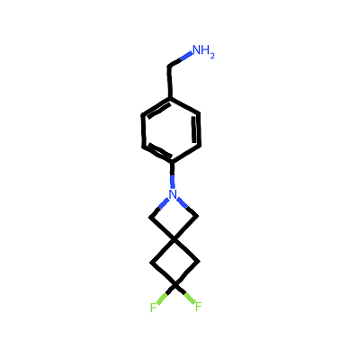 NCc1ccc(N2CC3(C2)CC(F)(F)C3)cc1